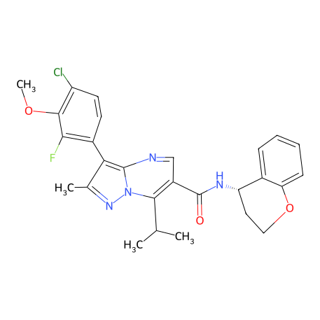 COc1c(Cl)ccc(-c2c(C)nn3c(C(C)C)c(C(=O)N[C@H]4CCOc5ccccc54)cnc23)c1F